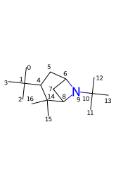 CC(C)(C)C1CC2CC(N2C(C)(C)C)C1(C)C